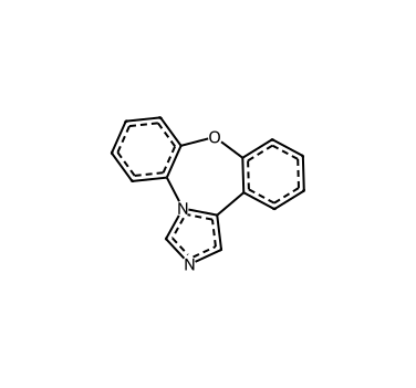 c1ccc2c(c1)Oc1ccccc1-n1cncc1-2